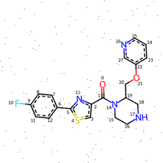 O=C(c1csc(-c2ccc(F)cc2)n1)N1CCNCC1COc1cccnc1